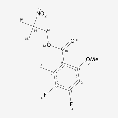 COc1cc(F)c(F)c(C)c1C(=O)OCC(C)(C)[N+](=O)[O-]